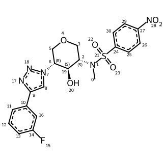 CN([C@H]1COC[C@@H](n2cc(-c3cccc(F)c3)nn2)[C@@H]1O)S(=O)(=O)c1ccc([N+](=O)[O-])cc1